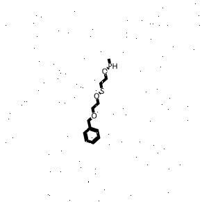 CPOCCSOCCOCc1ccccc1